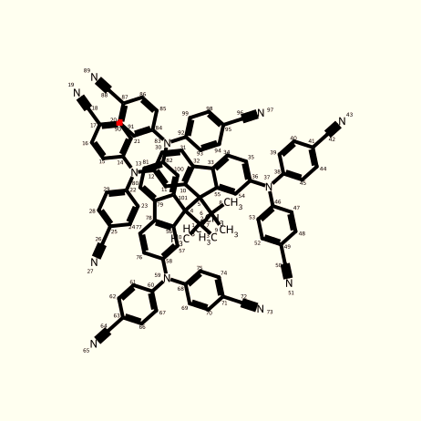 CC(C)(C)C1(C2(C(C)(C)C)c3cc(N(c4ccc(C#N)cc4)c4ccc(C#N)cc4)ccc3-c3ccc(N(c4ccc(C#N)cc4)c4ccc(C#N)cc4)cc32)c2cc(N(c3ccc(C#N)cc3)c3ccc(C#N)cc3)ccc2-c2ccc(N(c3ccc(C#N)cc3)c3ccc(C#N)cc3)cc21